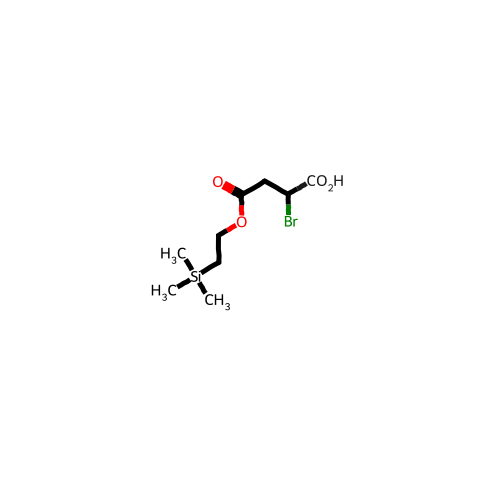 C[Si](C)(C)CCOC(=O)CC(Br)C(=O)O